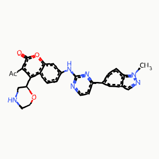 CC(=O)c1c(C2CNCCO2)c2ccc(Nc3nccc(-c4ccc5c(cnn5C)c4)n3)cc2oc1=O